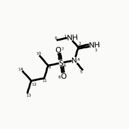 CNC(=N)N(C)S(=O)(=O)C(C)CC(C)C